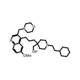 COc1ccc2ncc(CN3CCOCC3)c(CCCC3(CO)CCN(CCC4CCCCC4)CC3)c2c1